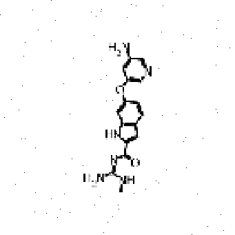 CNC(N)=NC(=O)c1cc2ccc(Oc3cncc(N)c3)cc2[nH]1